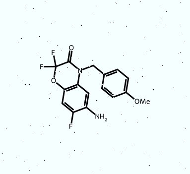 COc1ccc(CN2C(=O)C(F)(F)Oc3cc(F)c(N)cc32)cc1